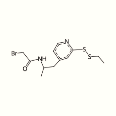 CCSSc1cc(CC(C)NC(=O)CBr)ccn1